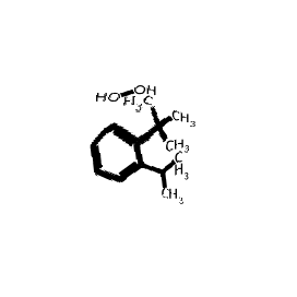 CC(C)c1ccccc1C(C)(C)C.OO